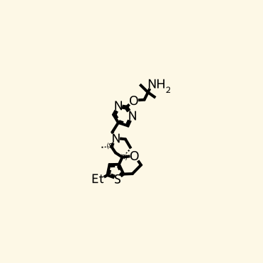 CCc1cc2c(s1)CCO[C@@]21CCN(Cc2cnc(OCC(C)(C)N)nc2)[C@@H](C)C1